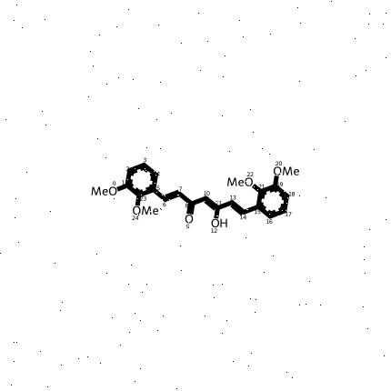 COc1cccc(/C=C/C(=O)/C=C(O)/C=C/c2cccc(OC)c2OC)c1OC